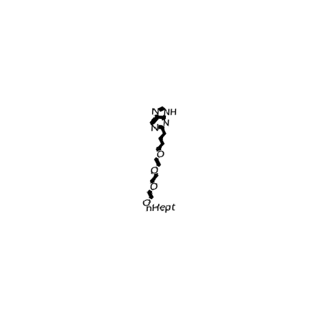 CCCCCCCOCCOCCOCCOCCCCc1ncc2nc[nH]c2n1